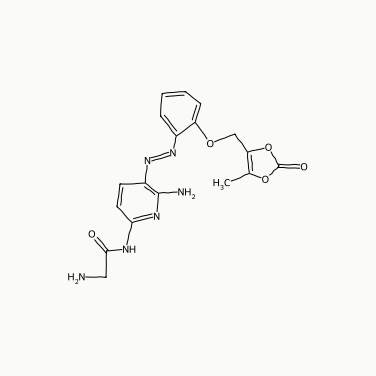 Cc1oc(=O)oc1COc1ccccc1/N=N/c1ccc(NC(=O)CN)nc1N